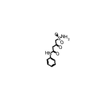 NS(=O)(=O)CC(=O)CC(=O)Nc1ccccc1